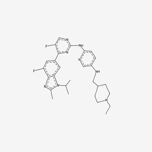 CCN1CCC(CNc2ccc(Nc3ncc(F)c(-c4cc(F)c5nc(C)n(C(C)C)c5c4)n3)nc2)CC1